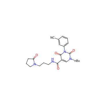 CCCCn1cc(C(=O)NCCCN2CCCC2=O)c(=O)n(-c2cccc(C#N)c2)c1=O